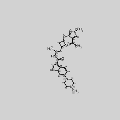 C[C@@H](CC1CC(Oc2nn(C)cc2C(N)=O)C1)NC(=O)c1cnn2cc(N3CCN(C)CC3)ccc12